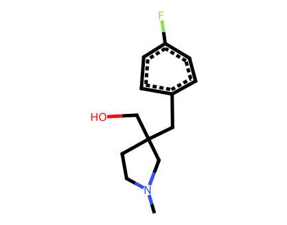 CN1CCC(CO)(Cc2ccc(F)cc2)C1